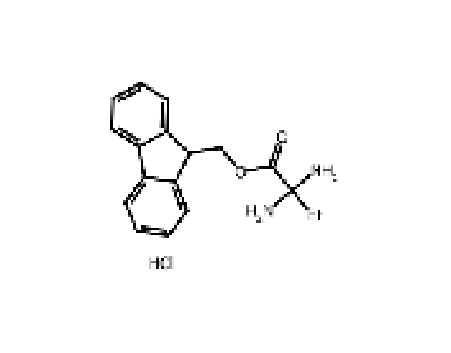 CCC(N)(N)C(=O)OCC1c2ccccc2-c2ccccc21.Cl